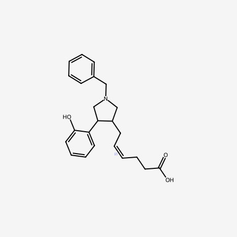 O=C(O)CC/C=C\CC1CN(Cc2ccccc2)CC1c1ccccc1O